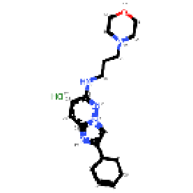 C1=CCC(c2cn3nc(NCCCN4CCOCC4)ccc3n2)CC1.Cl